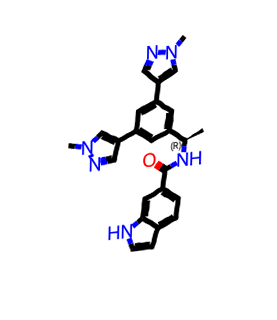 C[C@@H](NC(=O)c1ccc2cc[nH]c2c1)c1cc(-c2cnn(C)c2)cc(-c2cnn(C)c2)c1